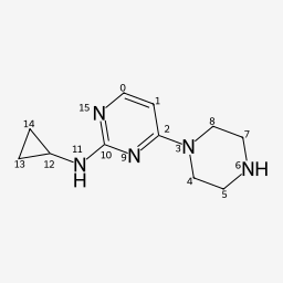 c1cc(N2CCNCC2)nc(NC2CC2)n1